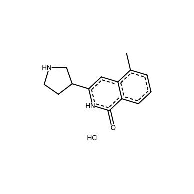 Cc1cccc2c(=O)[nH]c(C3CCNC3)cc12.Cl